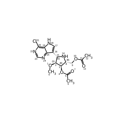 CO[C@@H]1[C@H](OC(C)=O)[C@@H](COC(C)=O)N[C@H]1c1c[nH]c2c(Cl)ncnc12